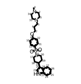 CN1CCN(CCCOc2ccc(S(=O)(=O)N3CCC(c4c[nH]c5ccccc45)CC3)cc2)CC1